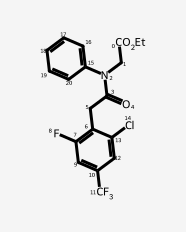 CCOC(=O)CN(C(=O)Cc1c(F)cc(C(F)(F)F)cc1Cl)c1ccccc1